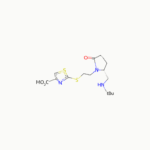 CC(C)(C)NC[C@H]1CCC(=O)N1CCSc1nc(C(=O)O)cs1